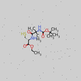 CCOC(=O)[C@H](CS)NC(=O)C(C)(C)NC(=O)OC(C)(C)C